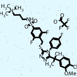 COc1cc(C(C)(C)c2nnc(SCc3c(F)cc(S(=O)(=O)NCCC[N+](C)(C)C)cc3F)n2-c2ccc(F)cc2)ccc1Cl.O=C([O-])C(F)(F)F